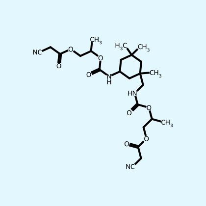 CC(COC(=O)CC#N)OC(=O)NCC1(C)CC(NC(=O)OC(C)COC(=O)CC#N)CC(C)(C)C1